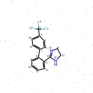 FC(F)(F)c1ccc(-c2ccccc2C2=NCCN2)cc1